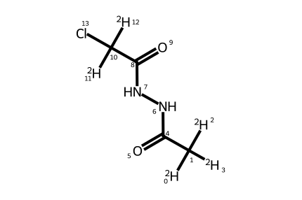 [2H]C([2H])([2H])C(=O)NNC(=O)C([2H])([2H])Cl